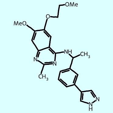 COCCOc1cc2c(NC(C)c3cccc(-c4cn[nH]c4)c3)nc(C)nc2cc1OC